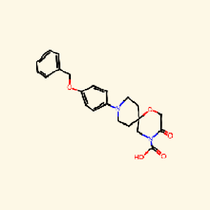 O=C(O)N1CC2(CCN(c3ccc(OCc4ccccc4)cc3)CC2)OCC1=O